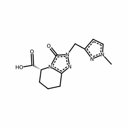 Cn1ccc(Cn2nc3n(c2=O)[C@@H](C(=O)O)CCC3)n1